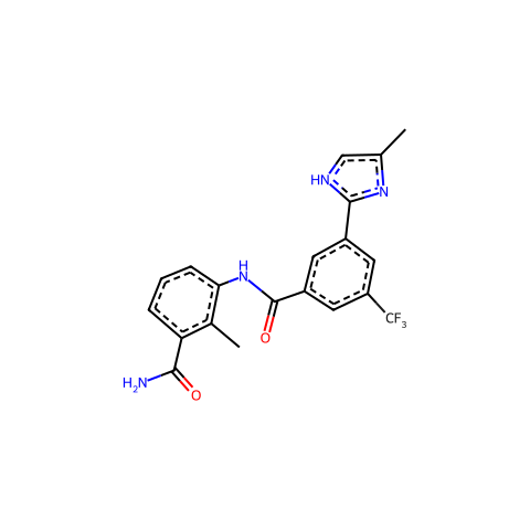 Cc1c[nH]c(-c2cc(C(=O)Nc3cccc(C(N)=O)c3C)cc(C(F)(F)F)c2)n1